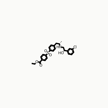 CCOC(=O)c1ccc(S(=O)(=O)c2ccc(C[C@H](C)NC[C@@H](O)c3cccc(Cl)c3)cc2)cc1